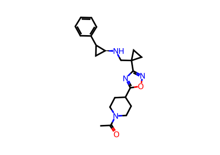 CC(=O)N1CCC(c2nc(C3(CN[C@H]4CC4c4ccccc4)CC3)no2)CC1